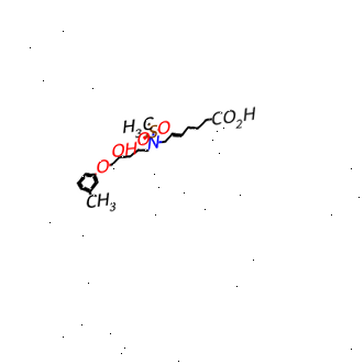 Cc1cccc(OCC(O)CCCN(CC=CCCCC(=O)O)S(C)(=O)=O)c1